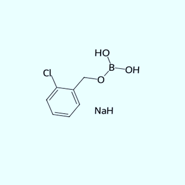 OB(O)OCc1ccccc1Cl.[NaH]